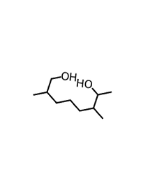 CC(CO)CCCC(C)C(C)O